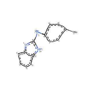 CC(C)(C)c1ccc(Nc2nc3ccccc3[nH]2)cc1